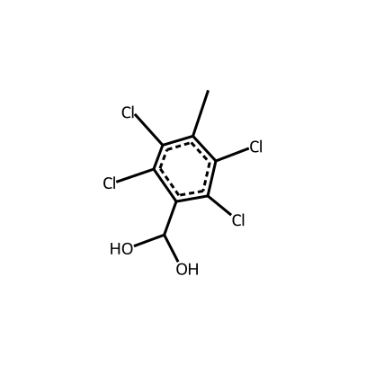 Cc1c(Cl)c(Cl)c(C(O)O)c(Cl)c1Cl